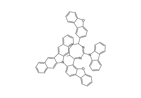 CC1CCC(c2ccc3oc4ccccc4c3c2)/N=C(n2c3ccccc3c3ccccc32)\N=C/1c1c(-n2c3cc4ccccc4cc3c3cc4ccccc4cc32)ccc2c1oc1ccccc12